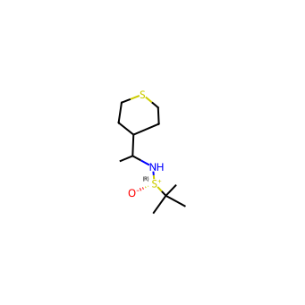 CC(N[S@@+]([O-])C(C)(C)C)C1CCSCC1